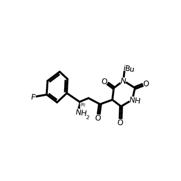 CCC(C)N1C(=O)NC(=O)C(C(=O)C[C@@H](N)c2cccc(F)c2)C1=O